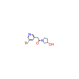 O=C(Cc1cncc(Br)c1)N1CCC(O)C1